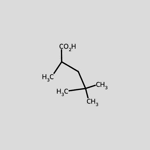 CC(CC(C)(C)C)C(=O)O